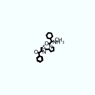 CNC(C(=O)N1CCCC1c1nc(C(=O)c2ccccc2)cs1)C1CCCCC1